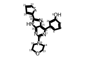 Oc1cccc(-c2nc(N3CCOCC3)nc3[nH]c(-c4cccs4)nc23)c1